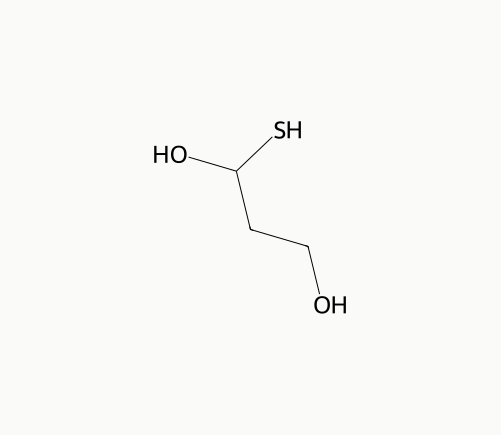 OCCC(O)S